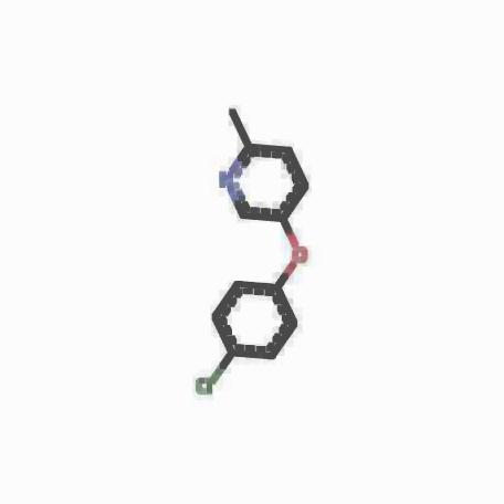 Cc1ccc(Oc2ccc(Cl)cc2)cn1